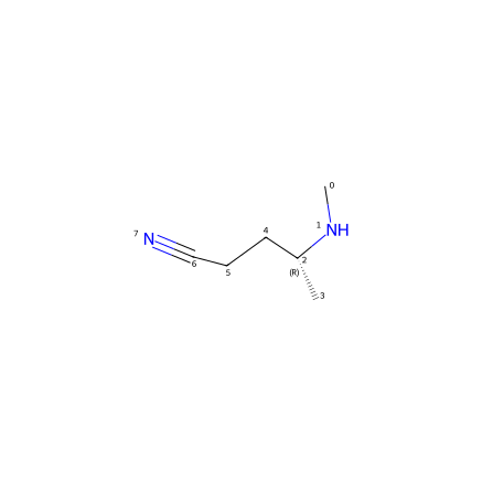 CN[C@H](C)CCC#N